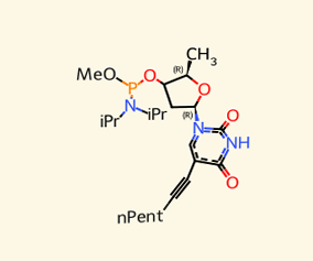 CCCCCC#Cc1cn([C@H]2CC(OP(OC)N(C(C)C)C(C)C)[C@@H](C)O2)c(=O)[nH]c1=O